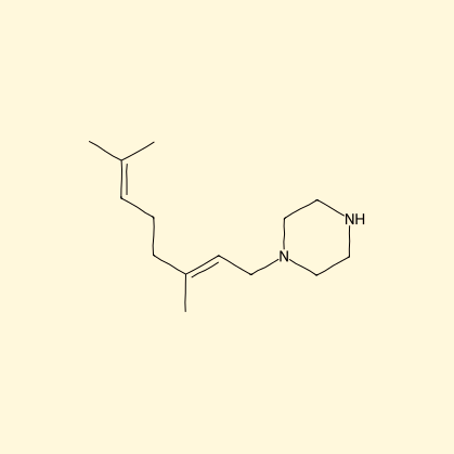 CC(C)=CCC/C(C)=C/CN1CCNCC1